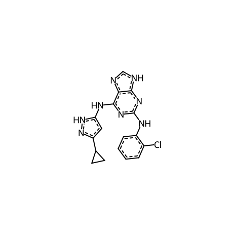 Clc1ccccc1Nc1nc(Nc2cc(C3CC3)n[nH]2)c2nc[nH]c2n1